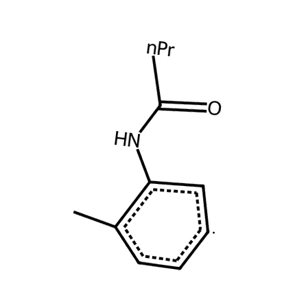 CCCC(=O)Nc1c[c]ccc1C